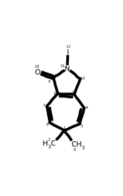 CC1(C)C=CC2=C(C=C1)C(=O)N(I)C2